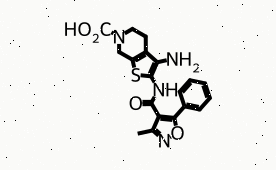 Cc1noc(-c2ccccc2)c1C(=O)Nc1sc2c(c1N)CCN(C(=O)O)C2